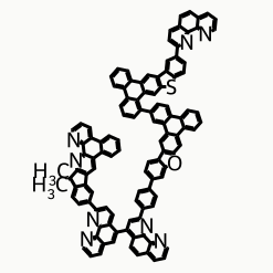 CC1(C)c2ccc(-c3ccc4c(-c5cc(-c6ccc(-c7ccc8c(c7)oc7cc9c%10ccccc%10c%10ccc(-c%11cccc%12c%13ccccc%13c%13cc%14c(cc%13c%11%12)sc%11ccc(-c%12ccc%13ccc%15cccnc%15c%13n%12)cc%11%14)cc%10c9cc78)cc6)nc6c5ccc5cccnc56)cc5cccnc5c4n3)cc2-c2cc3c4ccccc4c4cccnc4c3nc21